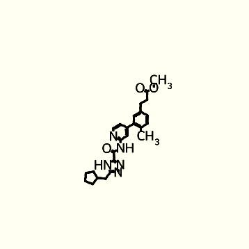 COC(=O)CCc1ccc(C)c(-c2ccnc(NC(=O)c3nnc(CC4CCCC4)[nH]3)c2)c1